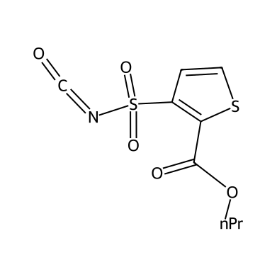 CCCOC(=O)c1sccc1S(=O)(=O)N=C=O